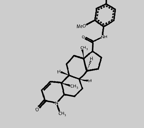 COc1ccc(NC(=O)C2CC[C@H]3[C@@H]4CCC5N(C)C(=O)C=C[C@]5(C)[C@@H]4CC[C@]23C)c(OC)c1